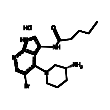 CCCCC(=O)Nc1c[nH]c2ncc(Br)c(N3CCC[C@@H](N)C3)c12.Cl